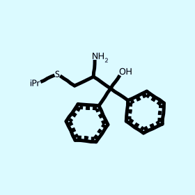 CC(C)SCC(N)C(O)(c1ccccc1)c1ccccc1